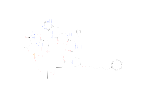 CC(C)C[C@H](NC(=O)[C@@H]1C[C@@H](OCCCCc2ccccc2)CN1C(=O)CCOC(C)(C)CO)C(=O)N[C@@H](Cc1cnc[nH]1)C(=O)N[C@@H](CO)C(=O)N[C@H](C(N)=O)C(C)OP(=O)(O)O